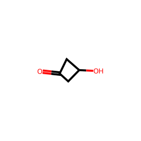 O=C1CC(O)C1